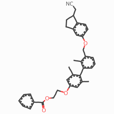 Cc1cc(OCCOC(=O)c2ccccc2)cc(C)c1-c1cccc(COc2ccc3c(c2)CCC3CC#N)c1C